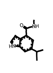 CNC(=O)c1cc(C(C)C)cc2[nH]ccc12